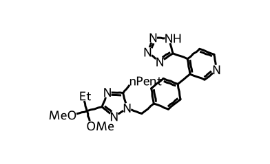 CCCCCc1nc(C(CC)(OC)OC)nn1Cc1ccc(-c2cnccc2-c2nnn[nH]2)cc1